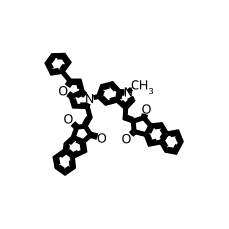 Cn1cc(C=C2C(=O)c3cc4ccccc4cc3C2=O)c2cc(-n3c(C=C4C(=O)c5cc6ccccc6cc5C4=O)cc4oc(-c5ccccc5)cc43)ccc21